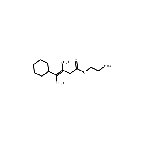 COCCOC(=O)C/C(C(=O)O)=C(\C(=O)O)C1CCCCC1